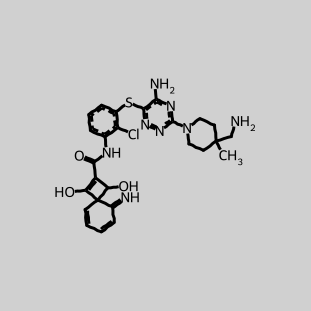 CC1(CN)CCN(c2nnc(Sc3cccc(NC(=O)C4=C(O)C5(C=CC=CC5=N)C4O)c3Cl)c(N)n2)CC1